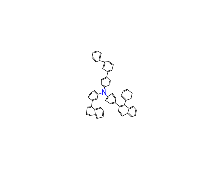 C1=CCCC(c2c(-c3ccc(N(c4ccc(-c5cccc(-c6ccccc6)c5)cc4)c4cccc(-c5cccc6ccccc56)c4)cc3)ccc3ccccc23)=C1